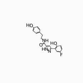 O=C(NCCc1ccc(O)cc1)c1cc(-c2cc(F)ccc2O)n[nH]1